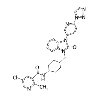 Cc1ncc(Cl)cc1C(=O)NC1CCC(Cn2c(=O)n(-c3ccc(-n4ccnn4)nc3)c3ccccc32)CC1